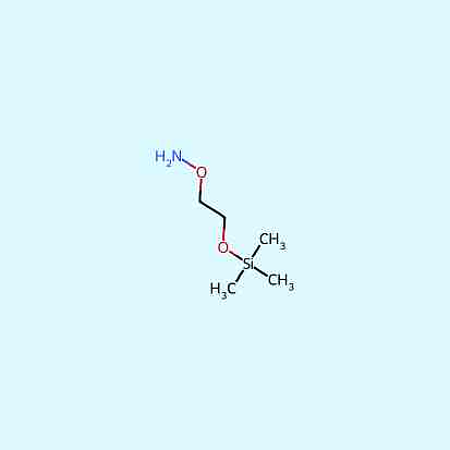 C[Si](C)(C)OCCON